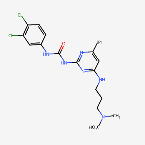 CC(C)c1cc(NCCCN(C)C(=O)O)nc(NC(=O)Nc2ccc(Cl)c(Cl)c2)n1